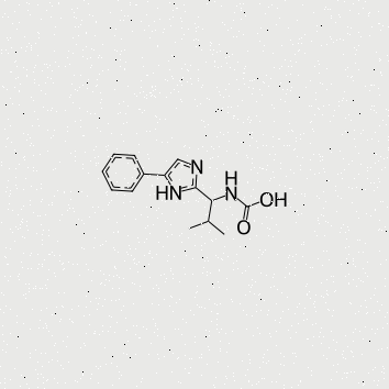 CC(C)C(NC(=O)O)c1ncc(-c2ccccc2)[nH]1